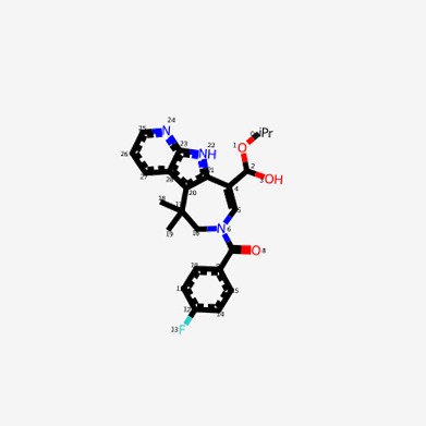 CC(C)OC(O)C1=CN(C(=O)c2ccc(F)cc2)CC(C)(C)c2c1[nH]c1ncccc21